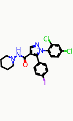 O=C(NN1CCCCC1)c1cnn(-c2ccc(Cl)cc2Cl)c1-c1ccc(I)cc1